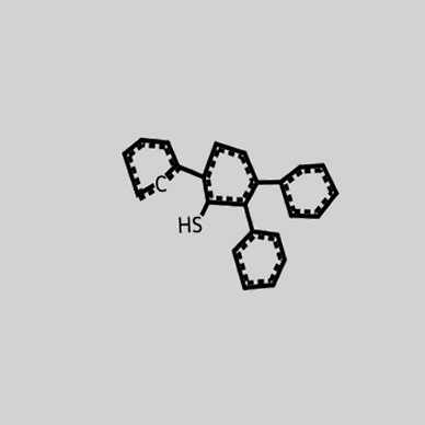 Sc1c(-c2ccccc2)ccc(-c2ccccc2)c1-c1ccccc1